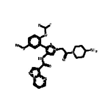 CC(C)Sc1ccc(OC(F)F)c(-c2nn(CC(=O)N3CCC(N)CC3)cc2NC(=O)c2cnn3cccnc23)c1